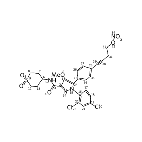 COc1c(C(=O)NC2CCS(=O)(=O)CC2)nn(-c2ccc(Cl)cc2Cl)c1-c1ccc(C#CCCO[N+](=O)[O-])cc1